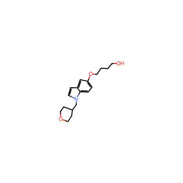 OCCCCOc1ccc2c([c]cn2CC2CCOCC2)c1